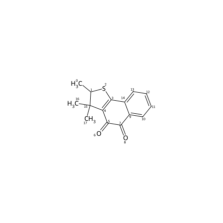 CC1SC2=C(C(=O)C(=O)c3ccccc32)C1(C)C